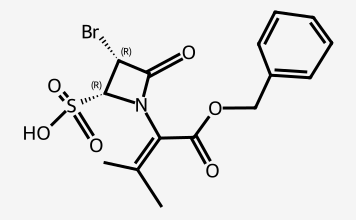 CC(C)=C(C(=O)OCc1ccccc1)N1C(=O)[C@@H](Br)[C@H]1S(=O)(=O)O